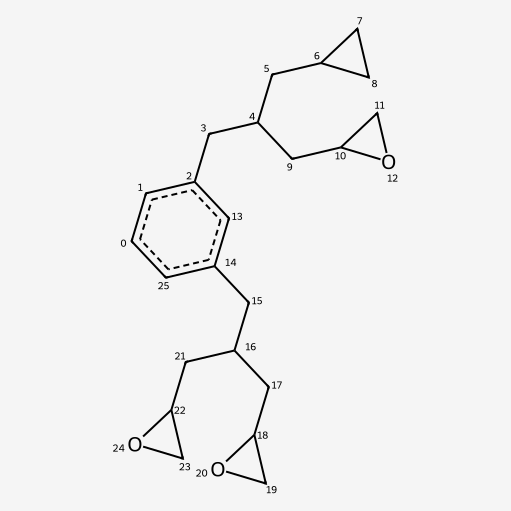 c1cc(CC(CC2CC2)CC2CO2)cc(CC(CC2CO2)CC2CO2)c1